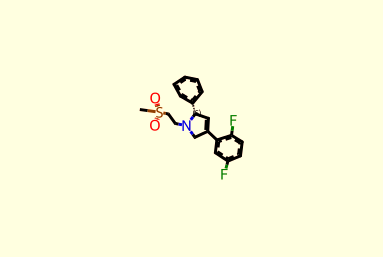 CS(=O)(=O)CCN1CC(c2cc(F)ccc2F)=C[C@H]1c1ccccc1